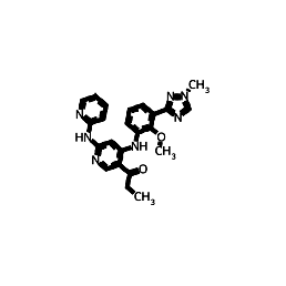 CCC(=O)c1cnc(Nc2cc[c]cn2)cc1Nc1cccc(-c2ncn(C)n2)c1OC